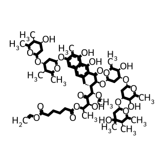 C=COC(=O)CCCCC(=O)O[C@H](C)[C@H](O)C(=O)[C@@H](OC)[C@@H]1Cc2cc3cc(O[C@H]4C[C@@H](OC5C[C@@H](O)[C@@H](C)C(C)O5)[C@@H](C)C(C)O4)c(C)c(O)c3c(O)c2C(=O)[C@H]1O[C@H]1C[C@@H](O[C@H]2C[C@@H](O[C@H]3CC(C)(O)[C@@H](C)C(C)O3)[C@H](O)C(C)O2)[C@H](O)C(C)O1